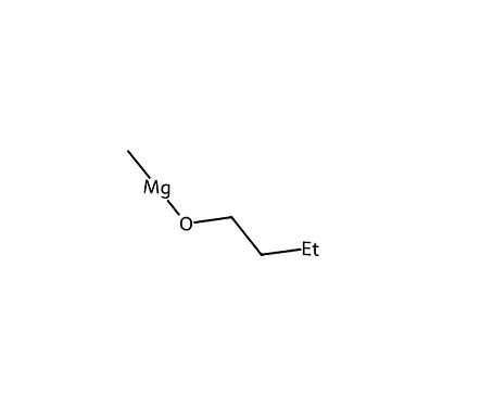 CCCC[O][Mg][CH3]